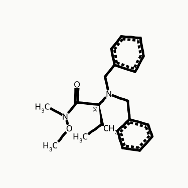 CON(C)C(=O)[C@H](C(C)C)N(Cc1ccccc1)Cc1ccccc1